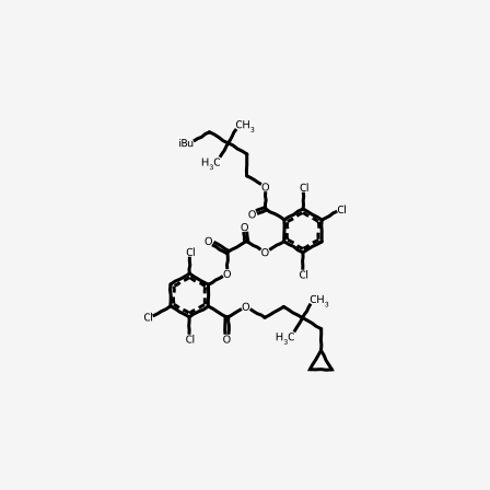 CCC(C)CC(C)(C)CCOC(=O)c1c(Cl)c(Cl)cc(Cl)c1OC(=O)C(=O)Oc1c(Cl)cc(Cl)c(Cl)c1C(=O)OCCC(C)(C)CC1CC1